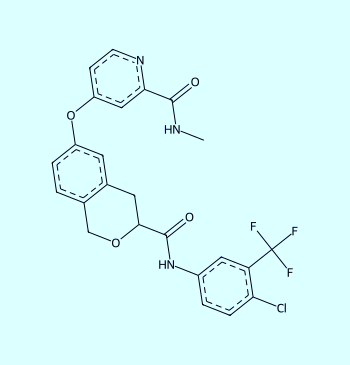 CNC(=O)c1cc(Oc2ccc3c(c2)CC(C(=O)Nc2ccc(Cl)c(C(F)(F)F)c2)OC3)ccn1